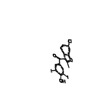 Cc1oc2cc(Cl)ccc2c1C(=O)c1cc(I)c(O)c(I)c1